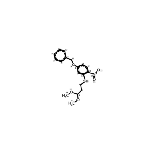 COC(CCNc1cc(OCc2ccccc2)ccc1[N+](=O)[O-])OC